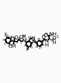 Cc1cc(NCC(O)(CC(C)(C)c2cc(F)ccc2O)C(F)(F)F)c2cnn(-c3cccc(C(=O)N[C@@H](CO)C(N)=O)c3)c2c1